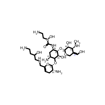 CN[C@H]1/C(=C\O)CO[C@H](O[C@H]2[C@H](NC(=O)N(O)CCN)C[C@H](N)C(O[C@H]3OC(CNCC(O)CCN)=CC[C@H]3N)[C@@H]2O)[C@@H]1O